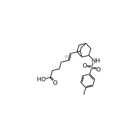 Cc1ccc(S(=O)(=O)NC2CC3CCC2C(/C=C/CCCC(=O)O)C3)cc1